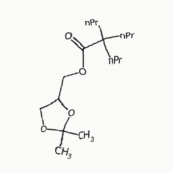 CCCC(CCC)(CCC)C(=O)OCC1COC(C)(C)O1